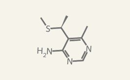 CS[C@@H](C)c1c(C)ncnc1N